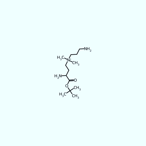 CC(C)(C)OC(=O)C(N)CC[N+](C)(C)CCCN